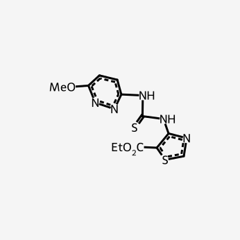 CCOC(=O)c1scnc1NC(=S)Nc1ccc(OC)nn1